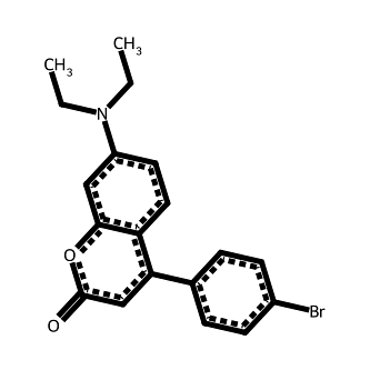 CCN(CC)c1ccc2c(-c3ccc(Br)cc3)cc(=O)oc2c1